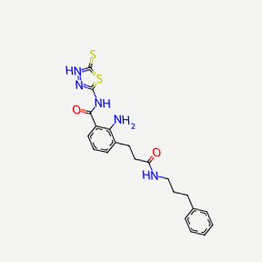 Nc1c(CCC(=O)NCCCc2ccccc2)cccc1C(=O)Nc1n[nH]c(=S)s1